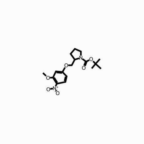 COc1cc(OCC2CCCN2C(=O)OC(C)(C)C)ccc1[N+](=O)[O-]